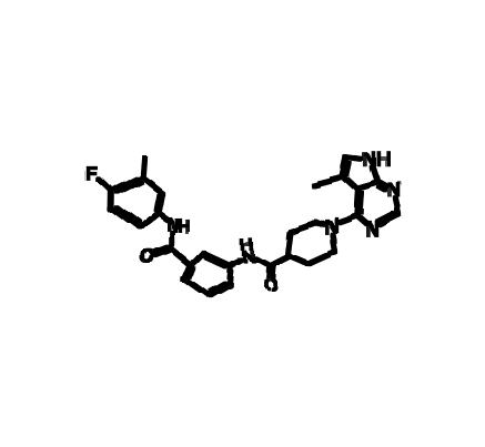 Cc1cc(NC(=O)c2cccc(NC(=O)C3CCN(c4ncnc5[nH]cc(C)c45)CC3)c2)ccc1F